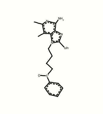 CCCc1nc2c(N)nc(C)c(C)c2n1CCCC[S+]([O-])c1ccccc1